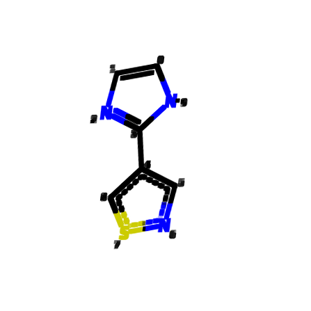 C1=CN=C(c2cnsc2)[N]1